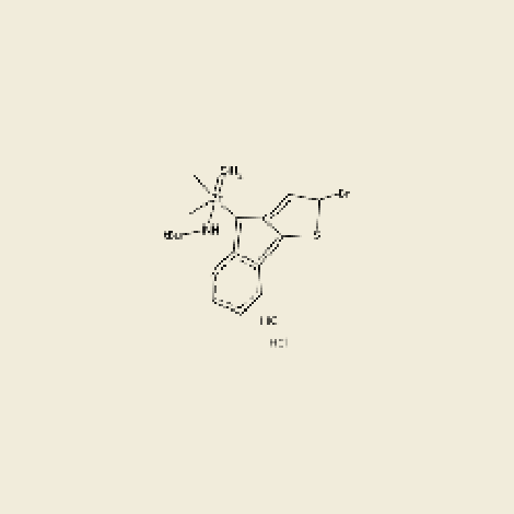 CC(C)(C)[NH][Zr]([CH3])([CH3])(=[SiH2])[C]1=c2ccccc2=C2SC(Br)C=C21.Cl.Cl